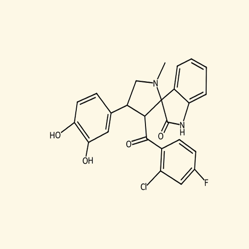 CN1CC(c2ccc(O)c(O)c2)C(C(=O)c2ccc(F)cc2Cl)C12C(=O)Nc1ccccc12